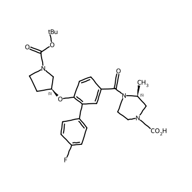 C[C@H]1CN(C(=O)O)CCN1C(=O)c1ccc(O[C@H]2CCN(C(=O)OC(C)(C)C)C2)c(-c2ccc(F)cc2)c1